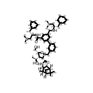 C[C@@H]1[C@@H](NC(=O)[C@@H]2[C@H]([C@H](C)O)[C@H](CO)ON2Cc2cccc(-c3cc(CN[C@@H](Cc4ccccc4)CN(C)C)cc(C(=O)N[C@@H](Cc4ccccc4)CN(C)C)c3)c2)C[C@H]2C[C@@H]1C2(C)C